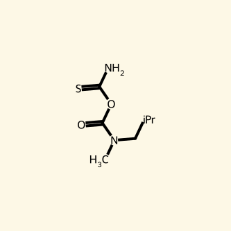 CC(C)CN(C)C(=O)OC(N)=S